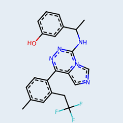 Cc1ccc(-c2nnc(NC(C)c3cccc(O)c3)n3cncc23)c(CC(F)(F)F)c1